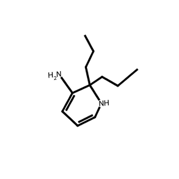 CCCC1(CCC)NC=CC=C1N